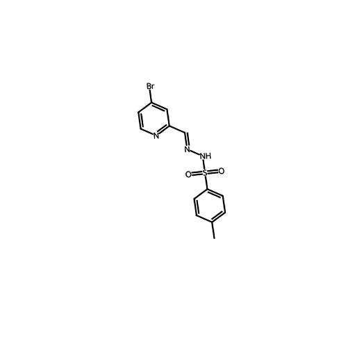 Cc1ccc(S(=O)(=O)NN=Cc2cc(Br)ccn2)cc1